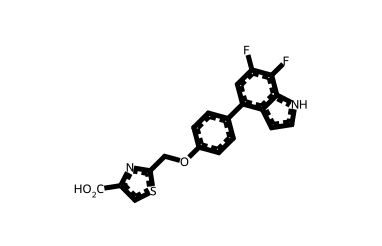 O=C(O)c1csc(COc2ccc(-c3cc(F)c(F)c4[nH]ccc34)cc2)n1